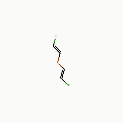 FC=CSC=CF